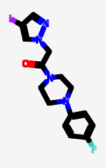 O=C(Cn1cc(I)cn1)N1CCN(c2ccc(F)cc2)CC1